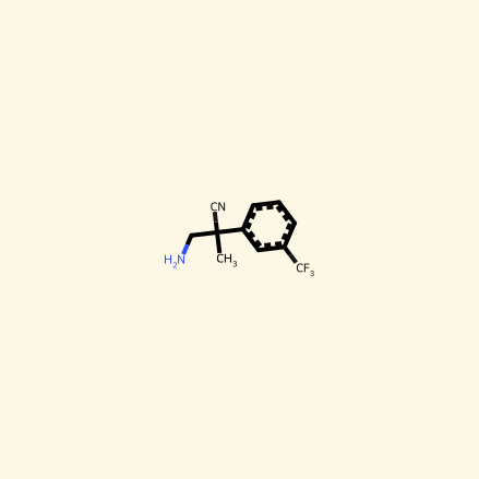 CC(C#N)(CN)c1cccc(C(F)(F)F)c1